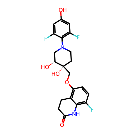 O=C1CCc2c(OC[C@]3(O)CCN(c4c(F)cc(O)cc4F)C[C@H]3O)ccc(F)c2N1